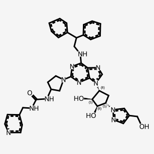 O=C(NCc1ccncc1)NC1CCN(c2nc(NCC(c3ccccc3)c3ccccc3)c3ncn([C@@H]4C[C@H](n5cc(CO)cn5)[C@@H](O)[C@H]4O)c3n2)C1